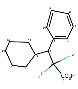 O=C(O)C(F)(F)C(c1ccccc1)C1CCCCC1